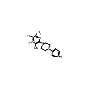 CCc1c(C)nc(N2CCN(c3ccc(F)cc3)CC2)c(C#N)[n+]1[O-]